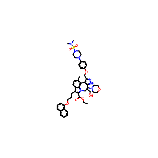 CCOC(=O)c1c(CCCOc2cccc3ccccc23)c2ccc(C)c(-c3c(COc4ccc(N5CCN(S(=O)(=O)N(C)C)CC5)cc4)n[nH]c3CCO)c2n1CCN1CCOCC1